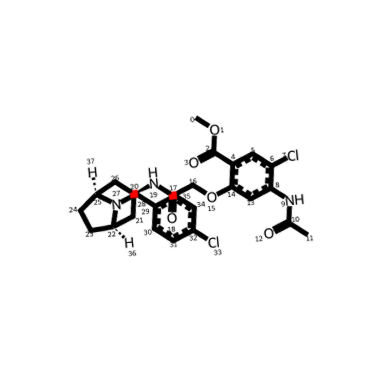 COC(=O)c1cc(Cl)c(NC(C)=O)cc1OCC(=O)N[C@H]1C[C@H]2CC[C@@H](C1)N2Cc1ccc(Cl)cc1